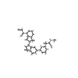 CNC(=O)c1cncc2[nH]c(-c3n[nH]c4ncc(-c5cncc(NC(=O)CC(C)C)c5)cc34)nc12